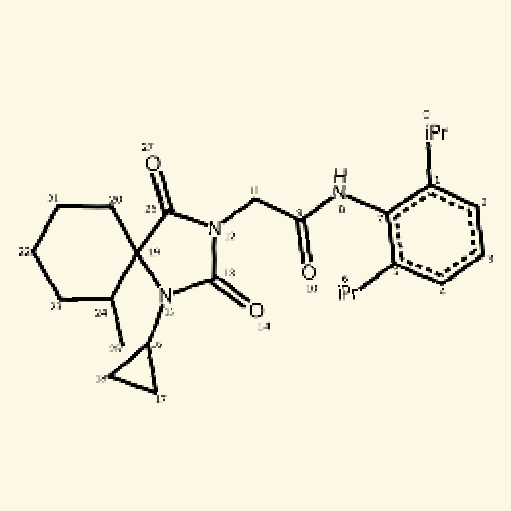 CC(C)c1cccc(C(C)C)c1NC(=O)CN1C(=O)N(C2CC2)C2(CCCCC2C)C1=O